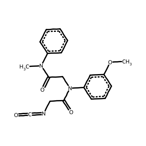 COc1cccc(N(CC(=O)N(C)c2ccccc2)C(=O)CN=C=O)c1